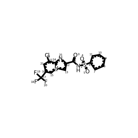 O=C(NS(=O)(=O)c1ccccc1)c1cn2cc(C(F)(F)F)cc(Cl)c2n1